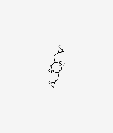 C1SC1CC1C[Se]C(CC2CS2)C[Se]1